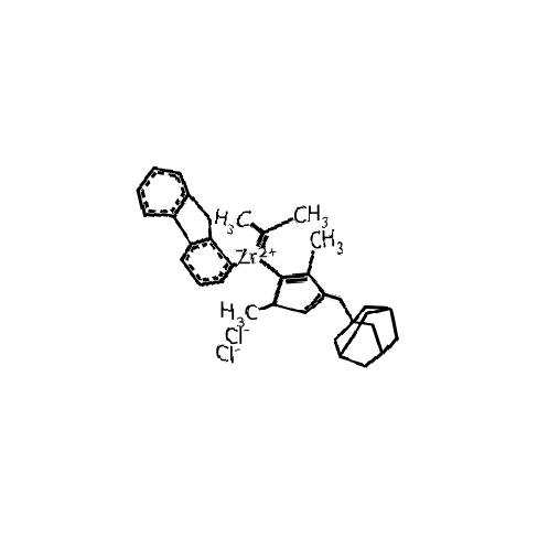 CC1=[C]([Zr+2](=[C](C)C)[c]2cccc3c2Cc2ccccc2-3)C(C)C=C1CC12CC3CC(CC(C3)C1)C2.[Cl-].[Cl-]